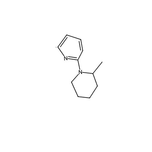 CC1CCCCN1c1ccc[c]n1